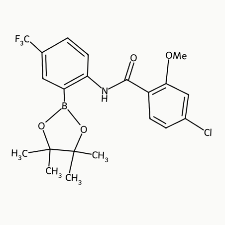 COc1cc(Cl)ccc1C(=O)Nc1ccc(C(F)(F)F)cc1B1OC(C)(C)C(C)(C)O1